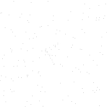 [Fe].[N].[N].[N].[N].[N].[N]